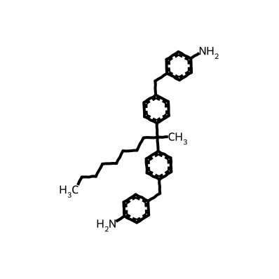 CCCCCCCCC(C)(c1ccc(Cc2ccc(N)cc2)cc1)c1ccc(Cc2ccc(N)cc2)cc1